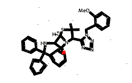 COc1ccccc1Cn1nnnc1C1N2C(=O)C(NC(c3ccccc3)(c3ccccc3)c3ccccc3)[C@H]2SC1(C)C